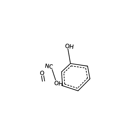 C=O.N#CO.Oc1ccccc1